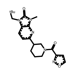 Cn1c(=O)n(CC(C)(C)C)c2ccc(C3CCCN(C(=O)c4ccon4)C3)nc21